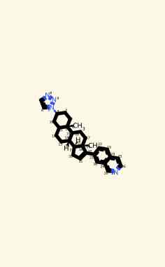 C[C@]12CC[C@H](n3ccnn3)CC1CC[C@@H]1C2CC[C@]2(C)C(c3ccc4ccncc4c3)=CC[C@@H]12